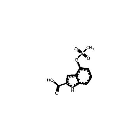 CS(=O)(=O)Oc1cccc2[nH]c(C(=O)O)cc12